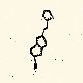 N#Cc1ccc2cc(C=Cc3cccs3)ccc2c1